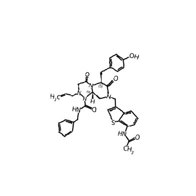 C=CCN1CC(=O)N2[C@@H](Cc3ccc(O)cc3)C(=O)N(Cc3csc4c(NC(C)=O)cccc34)C[C@@H]2N1C(=O)NCc1ccccc1